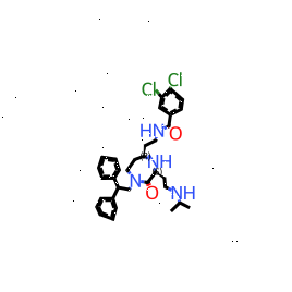 CC(C)NCC[C@@H]1N[C@H](CCNC(=O)c2ccc(Cl)c(Cl)c2)CCN(CC(c2ccccc2)c2ccccc2)C1=O